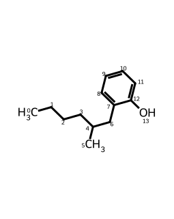 CCCCC(C)Cc1ccccc1O